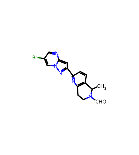 CC1c2ccc(-c3cc4ncc(Br)cn4n3)nc2CCN1C=O